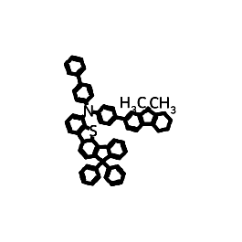 CC1(C)C2=C(CCCC2)c2ccc(-c3ccc(N(c4ccc(-c5ccccc5)cc4)c4cccc5c4SC4C6=C(C=CC54)C(c4ccccc4)(c4ccccc4)c4ccccc46)cc3)cc21